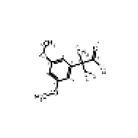 COc1cc(OC)cc(C(C)(C)C(=O)Cl)c1